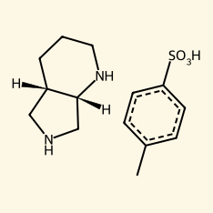 C1CN[C@@H]2CNC[C@@H]2C1.Cc1ccc(S(=O)(=O)O)cc1